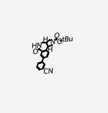 CC(C)(C)OC(=O)N1C[C@H]2CNC(=O)c3cc(-c4cccc(C#N)c4)ccc3[C@@H]2C1